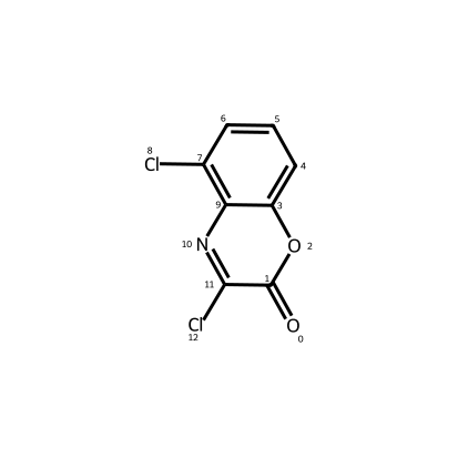 O=c1oc2cccc(Cl)c2nc1Cl